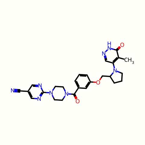 Cc1c(N2CCCC2COc2cccc(C(=O)N3CCN(c4ncc(C#N)cn4)CC3)c2)cn[nH]c1=O